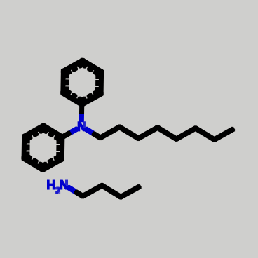 CCCCCCCCN(c1ccccc1)c1ccccc1.CCCCN